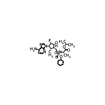 CC(C)OC(=O)[C@H](C)N[P@](=O)(OC[C@H]1[C@H](C)[C@@H](n2cnc3c(N)ncnc32)[C@@H](F)[C@@H]1O)Oc1ccccc1